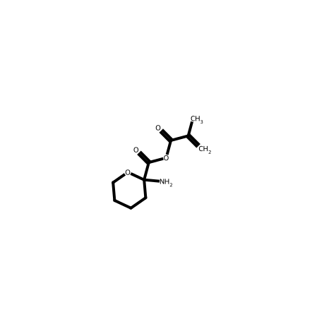 C=C(C)C(=O)OC(=O)C1(N)CCCCO1